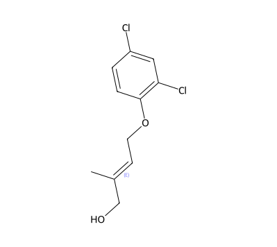 C/C(=C\COc1ccc(Cl)cc1Cl)CO